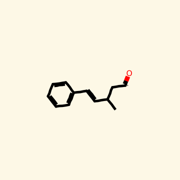 CC(C=Cc1ccccc1)C[C]=O